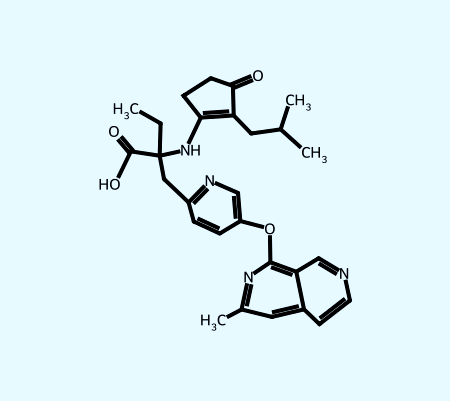 CCC(Cc1ccc(Oc2nc(C)cc3ccncc23)cn1)(NC1=C(CC(C)C)C(=O)CC1)C(=O)O